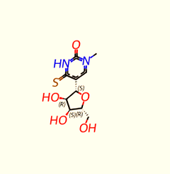 Cn1cc([C@@H]2O[C@H](CO)[C@@H](O)[C@H]2O)c(=S)[nH]c1=O